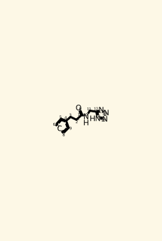 O=C([CH]Cc1ccccc1)NCc1nnn[nH]1